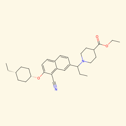 CCOC(=O)C1CCN(C(CC)c2ccc3ccc(O[C@H]4CC[C@@H](CC)CC4)c(C#N)c3c2)CC1